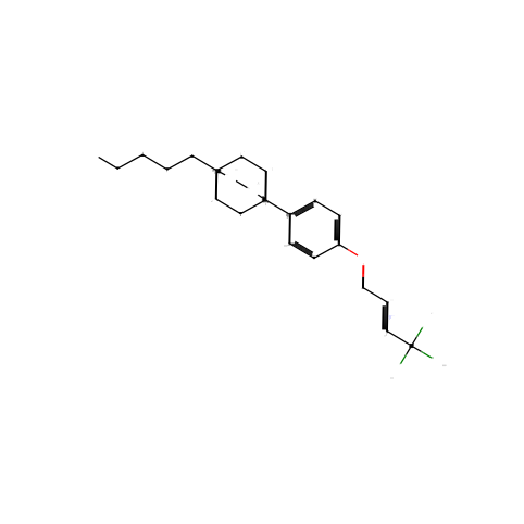 CCCCCC12CCC(c3ccc(OC/C=C/C(F)(F)F)cc3)(CC1)CC2